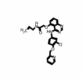 C=CCNC(=O)COc1cccc2ncnc(Nc3ccc(OCc4ccccn4)c(Cl)c3)c12